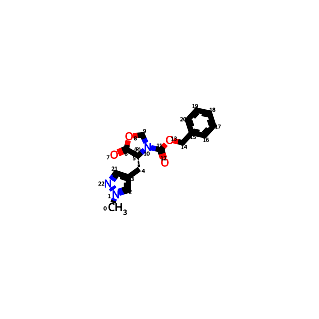 Cn1cc(C[C@@H]2C(=O)OCN2C(=O)OCc2ccccc2)cn1